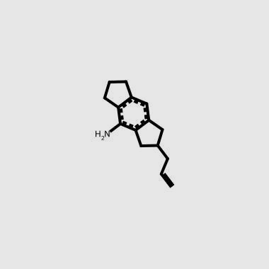 C=CCC1Cc2cc3c(c(N)c2C1)CCC3